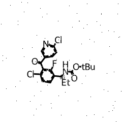 CC[C@@H](NC(=O)OC(C)(C)C)c1ccc(Cl)c(C(=O)c2ccc(Cl)nc2)c1F